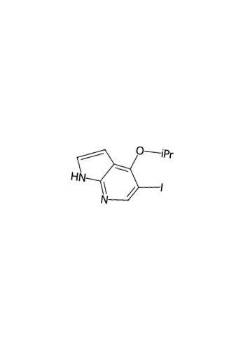 CC(C)Oc1c(I)cnc2[nH]ccc12